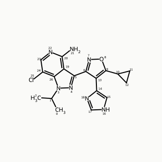 CC(C)n1nc(-c2noc(C3CC3)c2-c2c[nH]cn2)c2c(N)ncc(Cl)c21